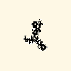 C=c1c(=C)/c(=C\C(=C/C)c2nc(/C(=C/C=C\C)CC)nc(-c3ccc4c(c3)oc3ccccc34)n2)o/c1=C/C(=C(C)C)c1ccccc1C